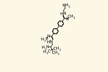 C=N/C(=C\NCCN)c1ccc(-c2ccc(/C(=C/NCC(N)C(C)(C)C)N=C)cc2)cc1